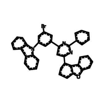 Brc1cc(-c2cc(-c3cccc4oc5ccccc5c34)nc(-c3ccccc3)n2)cc(-n2c3ccccc3c3ccccc32)c1